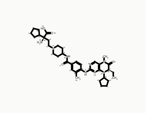 CC[C@@H]1C(=O)N(C)c2cnc(Nc3ccc(C(=O)NC4CCN(CC[C@@](N)(C(=O)O)C5CCCC5)CC4)cc3C)nc2N1C1CCCC1